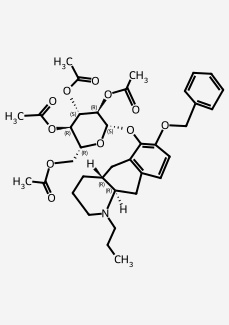 CCCN1CCC[C@@H]2Cc3c(ccc(OCc4ccccc4)c3O[C@@H]3O[C@H](COC(C)=O)[C@@H](OC(C)=O)[C@H](OC(C)=O)[C@H]3OC(C)=O)C[C@H]21